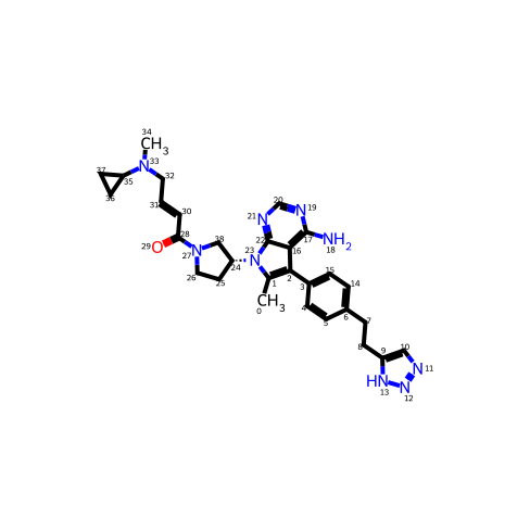 Cc1c(-c2ccc(CCc3cnn[nH]3)cc2)c2c(N)ncnc2n1[C@@H]1CCN(C(=O)/C=C/CN(C)C2CC2)C1